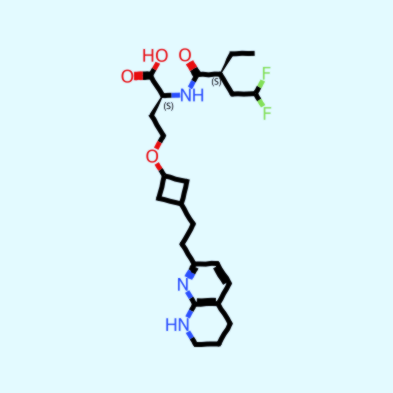 CC[C@@H](CC(F)F)C(=O)N[C@@H](CCOC1CC(CCc2ccc3c(n2)NCCC3)C1)C(=O)O